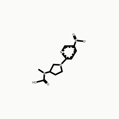 CN(C(=O)O)C1CCN(c2ccc([N+](=O)[O-])cn2)C1